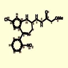 COCC(=O)NNC1CN=C(c2ccccc2[N+](=O)[O-])c2cc(Cl)sc2N1